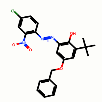 CC(C)(C)c1cc(OCc2ccccc2)cc(/N=N/c2ccc(Cl)cc2[N+](=O)[O-])c1O